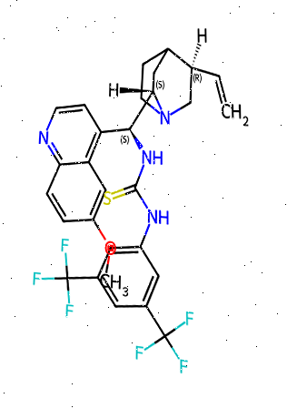 C=C[C@H]1CN2CCC1C[C@H]2[C@@H](NC(=S)Nc1cc(C(F)(F)F)cc(C(F)(F)F)c1)c1ccnc2ccc(OC)cc12